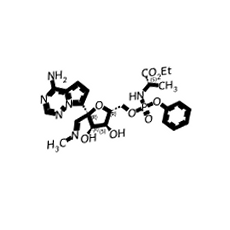 CCOC(=O)[C@H](C)NP(=O)(OC[C@H]1O[C@@](C=NC)(c2ccc3c(N)ncnn23)[C@H](O)[C@@H]1O)Oc1ccccc1